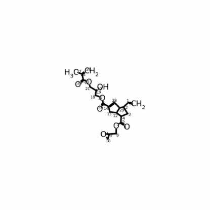 C=CC1CC(C(=O)OCC2CO2)C2CC(C(=O)OCC(O)COC(=O)C(=C)C)=CC12